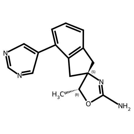 C[C@H]1OC(N)=N[C@]12Cc1cccc(-c3cncnc3)c1C2